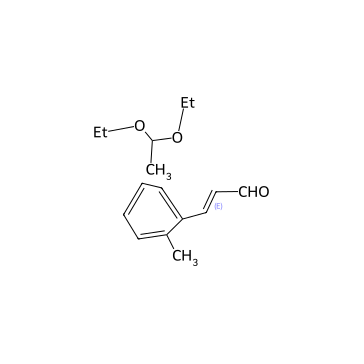 CCOC(C)OCC.Cc1ccccc1/C=C/C=O